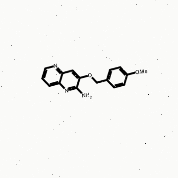 COc1ccc(COc2cc3ncccc3nc2N)cc1